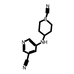 N#CB1CCC(Nc2cncc(C#N)c2)CC1